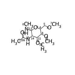 CNC1OC(COC)C(OC)C(OC)C1NC(C)=O